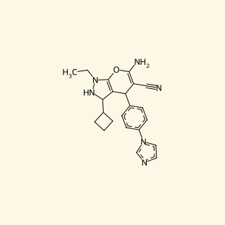 CCN1NC(C2CCC2)C2=C1OC(N)=C(C#N)C2c1ccc(-n2ccnc2)cc1